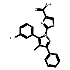 Cc1c(-c2ccccc2)nn(-c2nc(C(=O)O)cs2)c1-c1cccc(O)c1